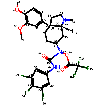 COc1ccc([C@]23CC[C@H](N(OC(=O)C(F)(F)F)C(=O)Nc4cc(F)c(F)c(F)c4)C[C@H]2N(C)CC3)cc1OC